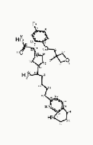 CC1(COc2ccc(F)cc2[C@@H](C(=O)O)N2CCC(C(P)CCCCc3ccc4c(n3)NCCC4)C2)COC1